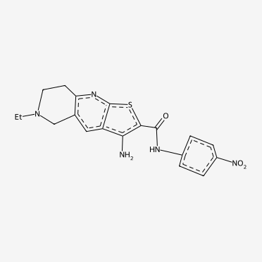 CCN1CCc2nc3sc(C(=O)Nc4ccc([N+](=O)[O-])cc4)c(N)c3cc2C1